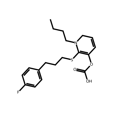 CCCCN1CC=CC(OC(=O)O)=C1SCCCc1ccc(F)cc1